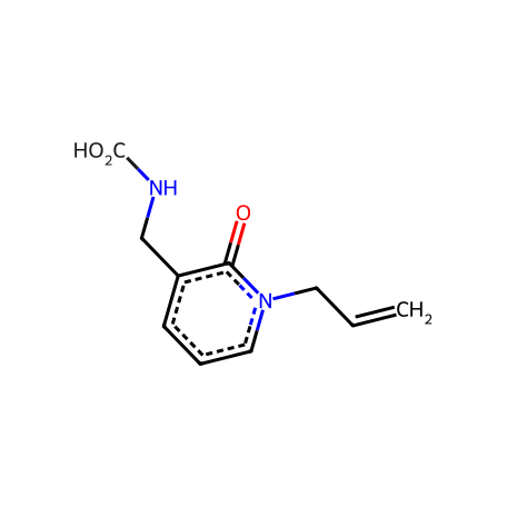 C=CCn1cccc(CNC(=O)O)c1=O